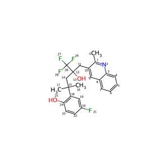 Cc1nc2ccccc2cc1CC(O)(CC(C)(C)c1cc(F)ccc1O)C(F)(F)F